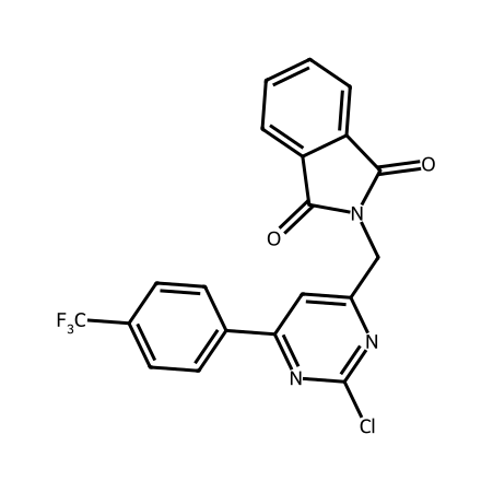 O=C1c2ccccc2C(=O)N1Cc1cc(-c2ccc(C(F)(F)F)cc2)nc(Cl)n1